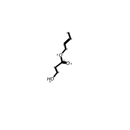 CC=CCOC(=O)CCO